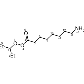 CCC(CC)OOC(=O)CCCCCCCN